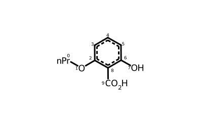 CCCOc1cccc(O)c1C(=O)O